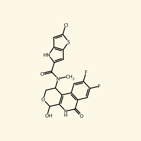 CN(C(=O)c1cc2sc(Cl)cc2[nH]1)C1COC(O)c2[nH]c(=O)c3cc(F)c(F)cc3c21